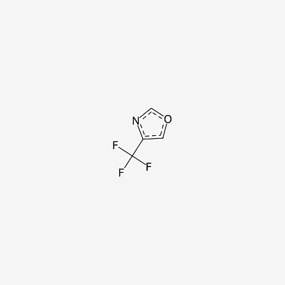 FC(F)(F)c1cocn1